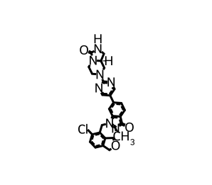 Cn1c(=O)c2ccc(-c3cnc(N4CCN5C(=O)NC[C@H]5C4)nc3)cc2n1Cc1c(Cl)ccc2c1COC2